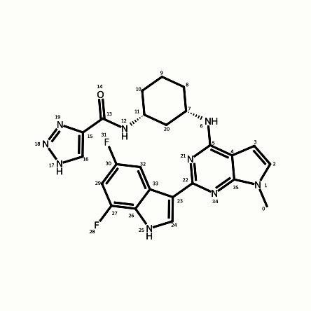 Cn1ccc2c(N[C@H]3CCC[C@@H](NC(=O)c4c[nH]nn4)C3)nc(-c3c[nH]c4c(F)cc(F)cc34)nc21